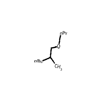 [CH2]CCOCC(C)CCCC